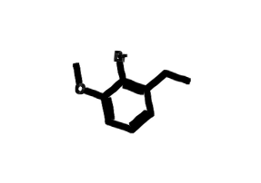 CCc1cccc(OC)c1Br